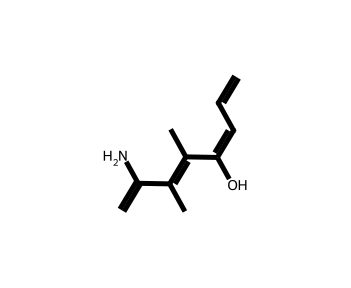 C=C/C=C(O)\C(C)=C(/C)C(=C)N